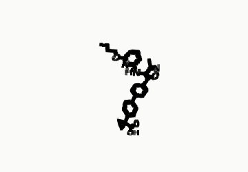 CCCCOc1cccc(Nc2c(C)noc2-c2ccc(-c3ccc(C4(C(=O)O)CC4)cc3)cc2)n1